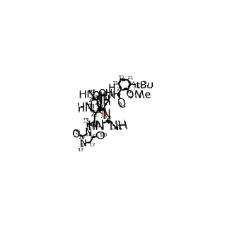 COc1c(C(=O)NC2CN3C(=N)N[C@@H](CN4C(=O)CN(C)C4=O)C4NC(=N)NC43C2(O)O)cccc1C(C)(C)C